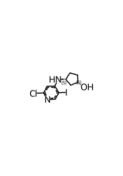 O[C@H]1CC[C@H](Nc2cc(Cl)ncc2I)C1